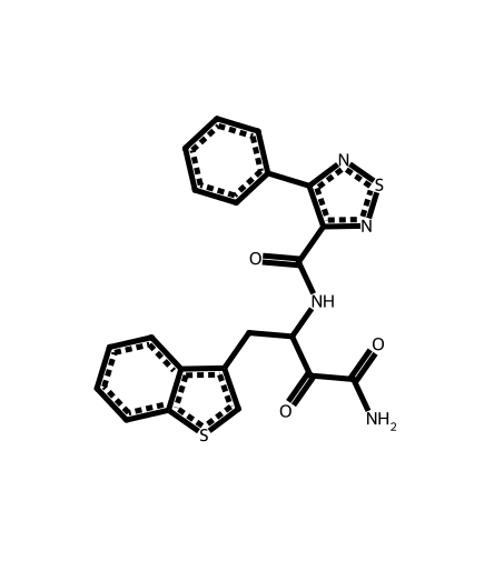 NC(=O)C(=O)C(Cc1csc2ccccc12)NC(=O)c1nsnc1-c1ccccc1